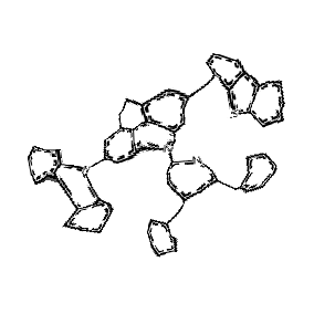 c1ccc(-c2cc(-c3ccccc3)nc(-n3c4cc(-c5cccc6c5sc5ccccc56)cc5c4c4c(cc(-n6c7ccccc7c7ccccc76)cc43)CC5)c2)cc1